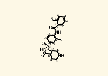 Cc1cc(S(=O)(=O)N[C@H](C)C2CCNCC2)ccc1NC(=O)c1ccccc1C